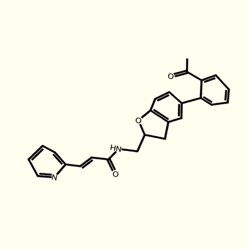 CC(=O)c1ccccc1-c1ccc2c(c1)CC(CNC(=O)C=Cc1ccccn1)O2